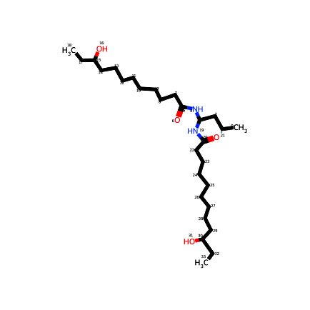 CCCC(NC(=O)CCCCCCCCC(O)CC)NC(=O)CCCCCCCCC(O)CC